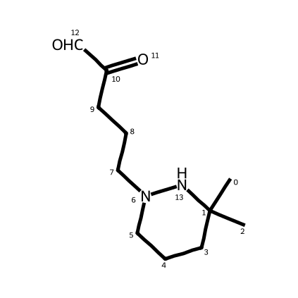 CC1(C)CCCN(CCCC(=O)C=O)N1